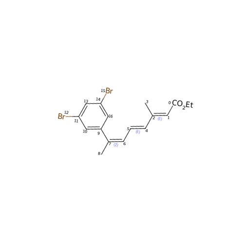 CCOC(=O)/C=C(C)/C=C/C=C(/C)c1cc(Br)cc(Br)c1